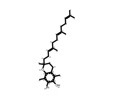 CC(C)=CCC/C(C)=C/CC/C(C)=C/CCC1(C)CCc2c(C)c(O)c(C(C)C)c(C)c2O1